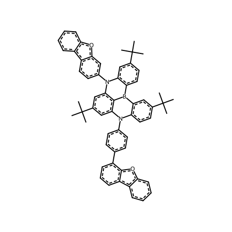 CC(C)(C)c1ccc2c(c1)B1c3ccc(C(C)(C)C)cc3N(c3ccc4c(c3)oc3ccccc34)c3cc(C(C)(C)C)cc(c31)N2c1ccc(-c2cccc3c2oc2ccccc23)cc1